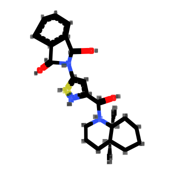 O=C1c2ccccc2C(=O)N1c1cc(C(=O)N2CCC[C@@H]3CCCC[C@@H]32)ns1